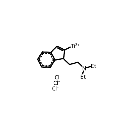 CCN(CC)CCC1[C]([Ti+3])=Cc2ccccc21.[Cl-].[Cl-].[Cl-]